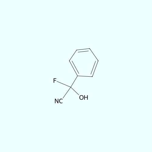 N#CC(O)(F)c1ccccc1